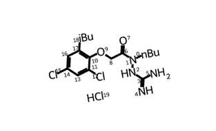 CCCCN(NC(=N)N)C(=O)COc1c(Cl)cc(Cl)cc1C(C)CC.Cl